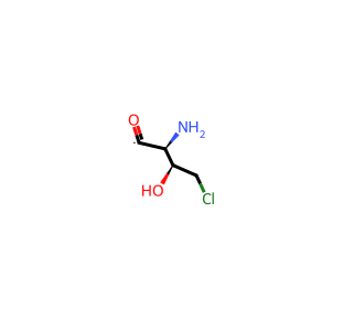 N[C@H]([C]=O)[C@H](O)CCl